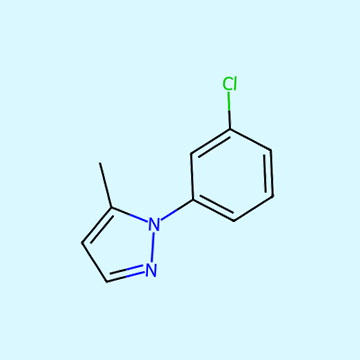 Cc1ccnn1-c1cccc(Cl)c1